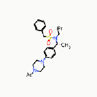 CC(=O)N1CCN(c2ccc([C@@H](C)N(CC(C)C)S(=O)(=O)Cc3ccccc3)cc2)CC1